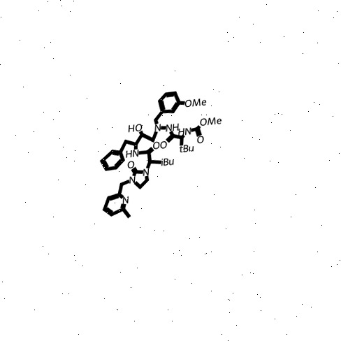 CCC(C)C(C(=O)NC(Cc1ccccc1)C(O)CN(Cc1cccc(OC)c1)NC(=O)C(NC(=O)OC)C(C)(C)C)N1CCN(Cc2cccc(C)n2)C1=O